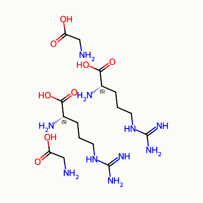 N=C(N)NCCC[C@H](N)C(=O)O.N=C(N)NCCC[C@H](N)C(=O)O.NCC(=O)O.NCC(=O)O